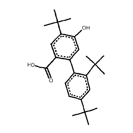 CC(C)(C)c1ccc(-c2cc(O)c(C(C)(C)C)cc2C(=O)O)c(C(C)(C)C)c1